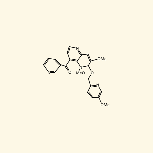 COC1=Cc2nccc(C(=O)c3cccnc3)c2N(OC)C1OCc1ccc(OC)cn1